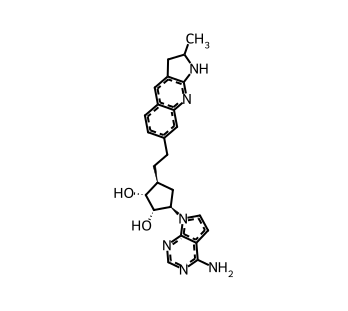 CC1Cc2cc3ccc(CC[C@H]4C[C@@H](n5ccc6c(N)ncnc65)[C@H](O)[C@@H]4O)cc3nc2N1